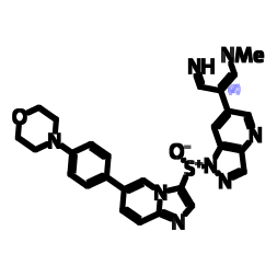 CN/C=C(\C=N)c1cnc2cnn([S+]([O-])c3cnc4ccc(-c5ccc(N6CCOCC6)cc5)cn34)c2c1